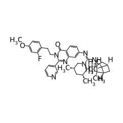 COc1ccc(CCn2c(-c3cccnc3)nc3cc(N=C(N[C@H]4C[C@H]5C[C@H]([C@H]4C)C5(C)C)N4C[C@H](C)C[C@H](C)C4)ccc3c2=O)c(F)c1